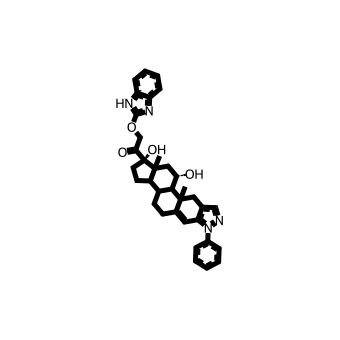 CC12Cc3cnn(-c4ccccc4)c3C=C1CCC1C2[C@@H](O)CC2(C)C1CC[C@]2(O)C(=O)COc1nc2ccccc2[nH]1